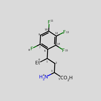 CCC(CC(N)C(=O)O)c1c(F)cc(F)c(F)c1F